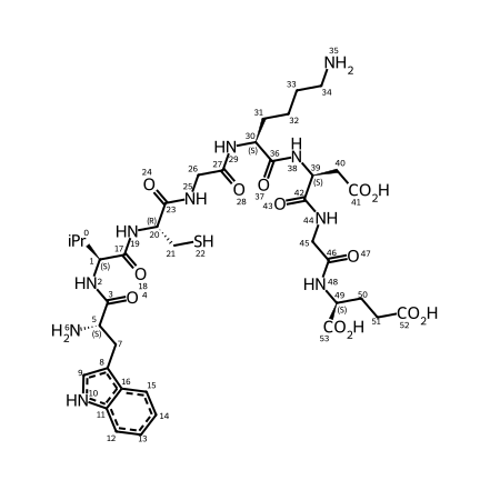 CC(C)[C@H](NC(=O)[C@@H](N)Cc1c[nH]c2ccccc12)C(=O)N[C@@H](CS)C(=O)NCC(=O)N[C@@H](CCCCN)C(=O)N[C@@H](CC(=O)O)C(=O)NCC(=O)N[C@@H](CCC(=O)O)C(=O)O